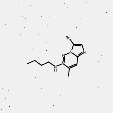 CCCCNc1nn2c(Br)cnc2cc1C